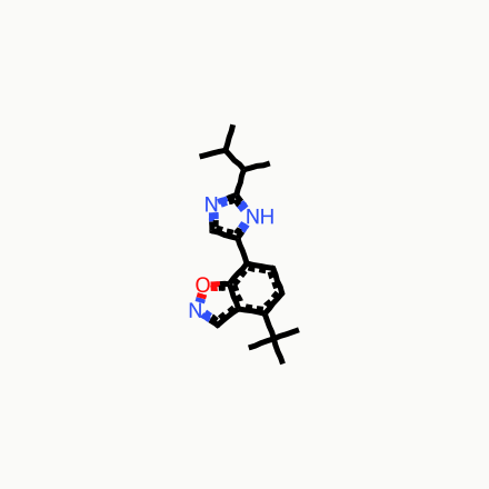 CC(C)C(C)c1ncc(-c2ccc(C(C)(C)C)c3cnoc23)[nH]1